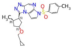 Cc1ccc(S(=O)(=O)n2ccc3c2ncc2nnc([C@H]4C[C@@H](OCC5CC5)C[C@H]4C)n23)cc1